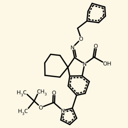 CC(C)(C)OC(=O)n1cccc1-c1ccc2c(c1)C1(CCCCC1)C(=NOCc1ccccc1)N2C(=O)O